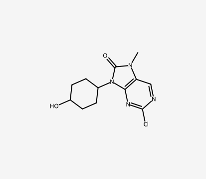 Cn1c(=O)n(C2CCC(O)CC2)c2nc(Cl)ncc21